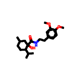 COc1ccc(CCNC(=O)C2(O)CC(C)CCC2C(C)C)cc1OC